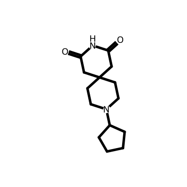 O=C1CC2(CCN(C3CCCC3)CC2)CC(=O)N1